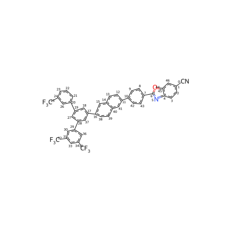 N#Cc1ccc2nc(-c3ccc(-c4ccc5cc(-c6cc(-c7cccc(C(F)(F)F)c7)cc(-c7cc(C(F)(F)F)cc(C(F)(F)F)c7)c6)ccc5c4)cc3)oc2c1